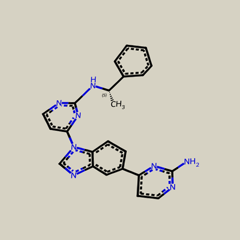 C[C@H](Nc1nccc(-n2cnc3cc(-c4ccnc(N)n4)ccc32)n1)c1ccccc1